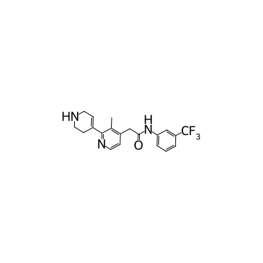 Cc1c(CC(=O)Nc2cccc(C(F)(F)F)c2)ccnc1C1=CCNCC1